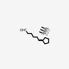 CN.CN.CN.O=CCCCCC=C1CCCC1